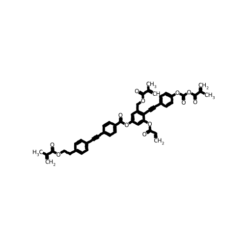 C=CC(=O)Oc1cc(OC(=O)c2ccc(C#Cc3ccc(CCOC(=O)C(=C)C)cc3)cc2)cc(COC(=O)C(=C)C)c1C#Cc1ccc(OC(=O)OC(=O)C(=C)C)cc1